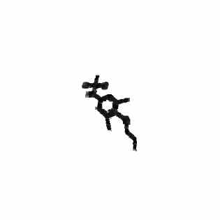 CCCOc1c(C)[c]c(NS(C)(=O)=O)cc1C